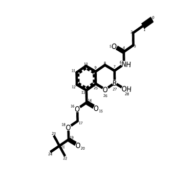 C#CCCC(=O)NC1Cc2cccc(C(=O)OCOC(=O)C(C)(C)C)c2OB1O